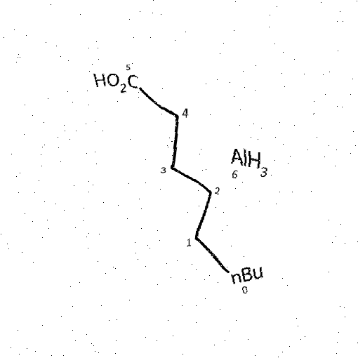 CCCCCCCCC(=O)O.[AlH3]